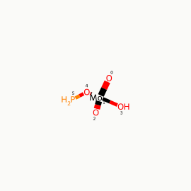 [O]=[Mo](=[O])([OH])[O]P